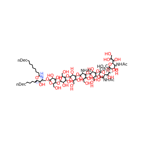 CCCCCCCCCCCCC/C=C/[C@@H](O)[C@H](CO[C@@H]1OC(CO)[C@@H](O[C@@H]2OC(CO)[C@H](O[C@@H]3OC(CO)[C@H](O)[C@H](O[C@@H]4OC(CO)[C@H](O)[C@H](O[C@@H]5OC(CO)[C@H](O)[C@H](O[C@]6(C(=O)O)CC(O)[C@@H](NC(C)=O)C([C@H](O)[C@@H](CO)O[C@]7(C(=O)O)CC(O)[C@@H](NC(C)=O)C([C@H](O)[C@H](O)CO)O7)O6)C5O)C4NC(C)=O)C3O)[C@H](O)C2O)[C@H](O)C1O)NC(=O)CCCCCCCCCCCCCCCCC